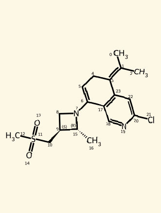 CC(C)=C1CC=C(N2C[C@H](CS(C)(=O)=O)[C@H]2C)c2cnc(Cl)cc21